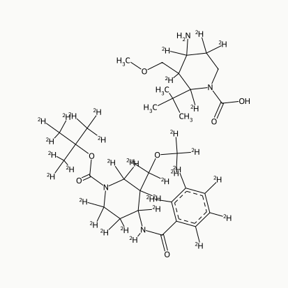 [2H]C1([2H])CN(C(=O)O)C([2H])(C(C)(C)C)C([2H])(COC)C1([2H])N.[2H]c1c([2H])c([2H])c(C(=O)N([2H])C2([2H])C([2H])([2H])C([2H])([2H])N(C(=O)OC(C([2H])([2H])[2H])(C([2H])([2H])[2H])C([2H])([2H])[2H])C([2H])([2H])C2([2H])C([2H])([2H])OC([2H])([2H])[2H])c([2H])c1[2H]